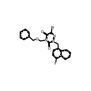 O=c1c(Br)nn(Cc2ccc(F)c3ccccc23)c(=O)n1COCc1ccccc1